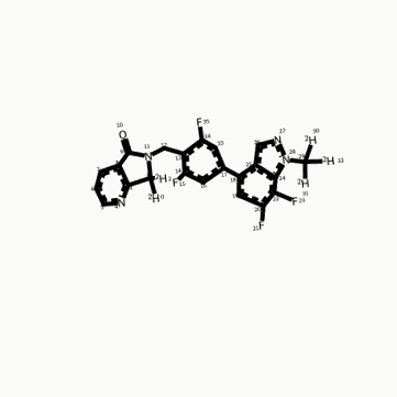 [2H]C1([2H])c2ncccc2C(=O)N1Cc1c(F)cc(-c2cc(F)c(F)c3c2cnn3C([2H])([2H])[2H])cc1F